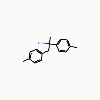 Cc1ccc(CC(C)(N)c2ccc(C)cc2)cc1